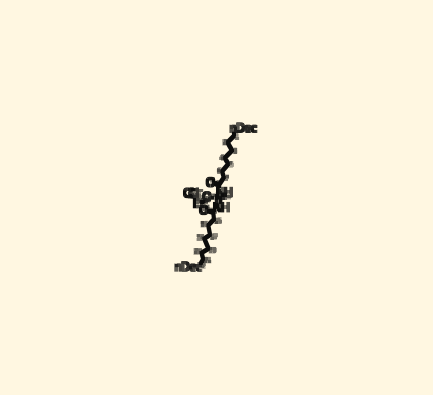 CCCCCCCCCCCCCCCCCC(=O)[NH][Ti+2]([NH]C(=O)CCCCCCCCCCCCCCCCC)[O]CC.[Cl-].[Cl-]